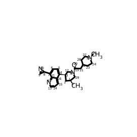 C[C@H]1C[C@@H](c2ccc(C3C=N3)c3ncccc23)CN(C(=O)CC2CCN(C)CC2)C1